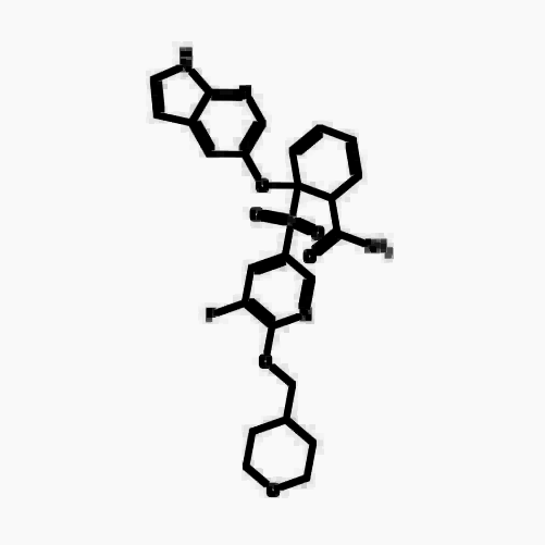 NC(=O)C1C=CC=CC1(Oc1cnc2[nH]ccc2c1)S(=O)(=O)c1cnc(OCC2CCOCC2)c(F)c1